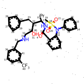 CC(C)C(NC(=O)c1ccccc1N(c1ccccc1)S(C)(=O)=O)[C@H](Cc1ccccc1)[C@@H](O)CNCc1cccc(C(F)(F)F)c1